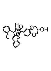 O=S(=O)(N[C@@H](c1cc2ccccc2s1)c1ccccc1Cl)c1ccc2c(c1)OCC(O)CO2